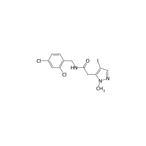 Cn1ncc(I)c1CC(=O)NCc1ccc(Cl)cc1Cl